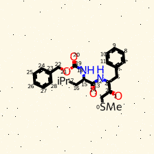 CSCC(=O)C(Cc1ccccc1)NC(=O)C(CC(C)C)NC(=O)OCc1ccccc1